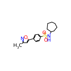 Cc1cc(-c2ccc(S(=O)(=O)NC3CCCCCC3)cc2)on1